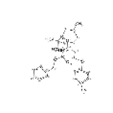 CC1CCC2C(C)(C)C2(O[C@H](CCOc2ccc(C#N)cc2)NC(=O)OCc2ccccc2)C1